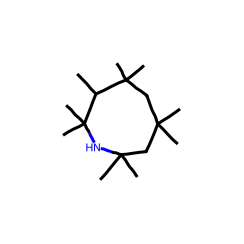 CC1C(C)(C)CC(C)(C)CC(C)(C)NC1(C)C